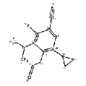 CC(C)c1c(F)c(C#N)cc(C2CC2)c1CC=O